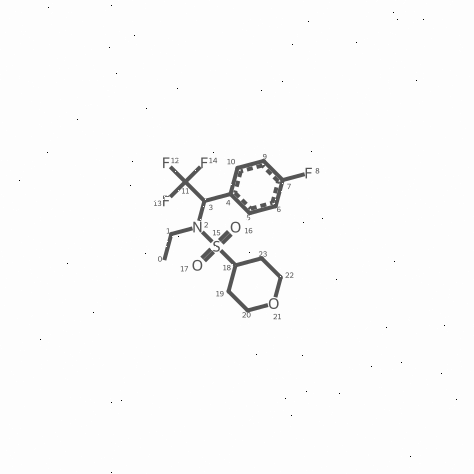 CCN(C(c1ccc(F)cc1)C(F)(F)F)S(=O)(=O)C1CCOCC1